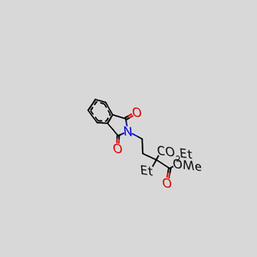 CCOC(=O)C(CC)(CCN1C(=O)c2ccccc2C1=O)C(=O)OC